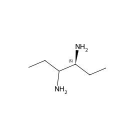 CCC(N)[C@@H](N)CC